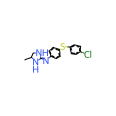 CC1CN/C(=N\c2ccc(Sc3ccc(Cl)cc3)cc2)N1